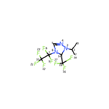 CC(C)N1N=CN(C(F)(F)C(F)(F)F)C1C(F)(F)F